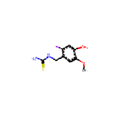 COc1cc(CNC(N)=S)c(I)cc1O